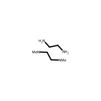 CNCCNC.NCCN